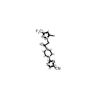 Cc1cc(C(F)(F)F)nn1CC(=O)N1CCN(c2nc(C#N)cs2)CC1